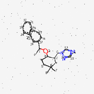 CC(OC1CCC(C)(C)CC1Cn1cncn1)c1ccc2ccccc2c1